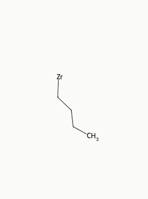 CCC[CH2][Zr]